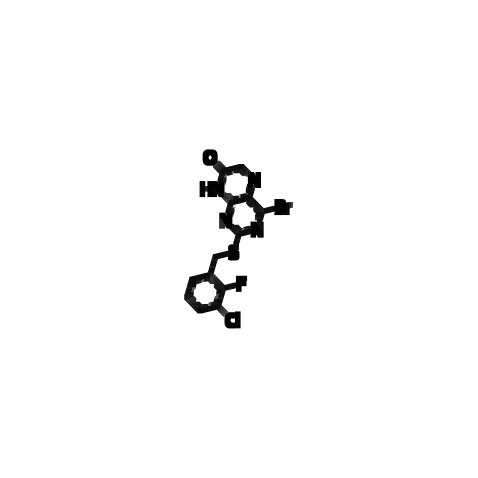 O=c1cnc2c(Br)nc(SCc3cccc(Cl)c3F)nc2[nH]1